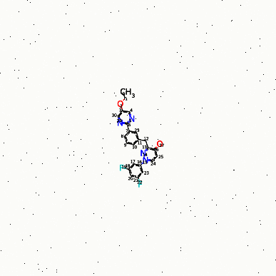 CCOc1cnc(-c2cccc(Cc3nn(-c4cc(F)cc(F)c4)ccc3=O)c2)nc1